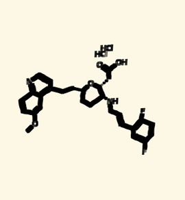 COc1ccc2nccc(CC[C@@H]3CC[C@@H](NCC=Cc4cc(F)ccc4F)[C@@H](CC(=O)O)O3)c2c1.Cl.Cl